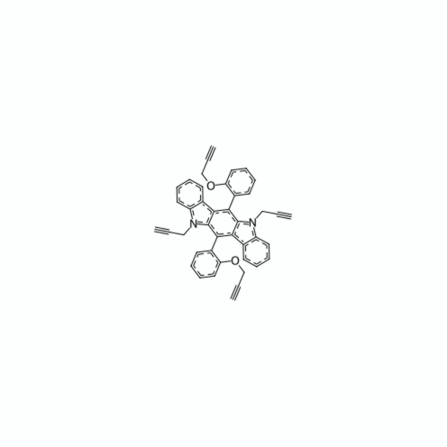 C#CCOc1ccccc1-c1c2c3ccccc3n(CC#C)c2c(-c2ccccc2OCC#C)c2c3ccccc3n(CC#C)c12